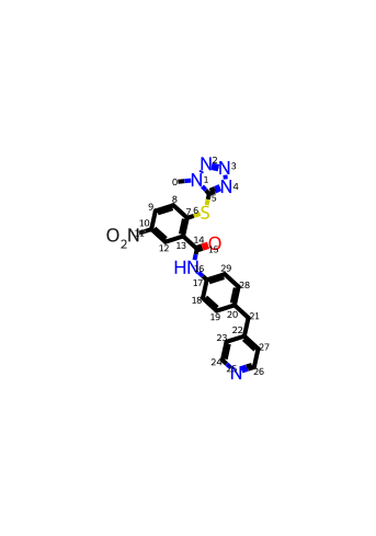 Cn1nnnc1Sc1ccc([N+](=O)[O-])cc1C(=O)Nc1ccc(Cc2ccncc2)cc1